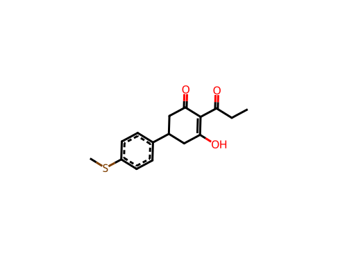 CCC(=O)C1=C(O)CC(c2ccc(SC)cc2)CC1=O